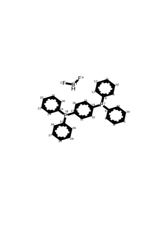 FBF.c1ccc(P(c2ccccc2)c2ccc(P(c3ccccc3)c3ccccc3)cc2)cc1